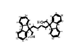 OCC1(CCCCC2(CO)c3ccccc3-c3ccccc32)c2ccccc2-c2ccccc21